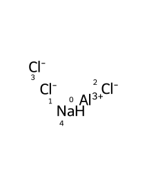 [Al+3].[Cl-].[Cl-].[Cl-].[NaH]